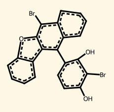 Oc1ccc(-c2c3ccccc3c(Br)c3oc4ccccc4c23)c(O)c1Br